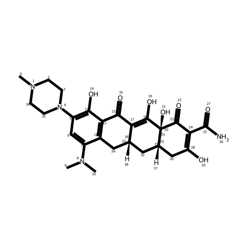 CN1CCN(c2cc(N(C)C)c3c(c2O)C(=O)C2=C(O)[C@]4(O)C(=O)C(C(N)=O)=C(O)C[C@@H]4C[C@@H]2C3)CC1